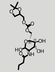 CCCC(=O)N[C@H]1C(O)O[C@H](COC(=O)OCC2COC(C)(C)O2)[C@@H](O)[C@@H]1O